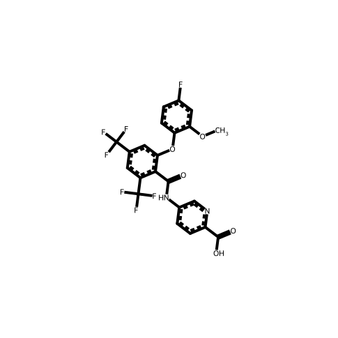 COc1cc(F)ccc1Oc1cc(C(F)(F)F)cc(C(F)(F)F)c1C(=O)Nc1ccc(C(=O)O)nc1